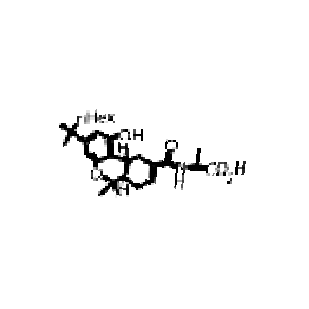 CCCCCCC(C)(C)c1cc(O)c2c(c1)OC(C)(C)[C@@H]1CC=C(C(=O)NC(C)C(=O)O)C[C@@H]21